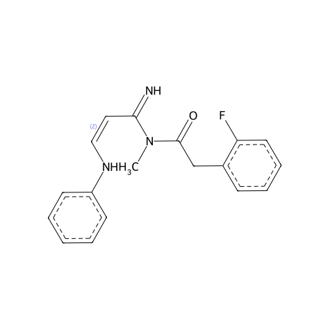 CN(C(=N)/C=C\Nc1ccccc1)C(=O)Cc1ccccc1F